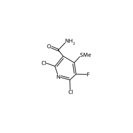 CSc1c(F)c(Cl)nc(Cl)c1C(N)=O